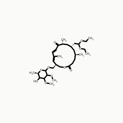 CCOC(C[C@@H]1C[C@@H](C)CCC(=O)OC[C@@H](COC2O[C@H](C)C(O)C(OC)C2OC)/C=C(C)/C=C/C(=O)[C@H](C)C1)OCC